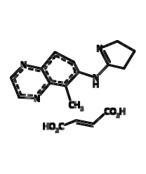 Cc1c(NC2=NCCC2)ccc2nccnc12.O=C(O)C=CC(=O)O